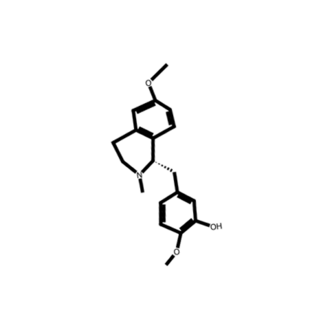 COc1ccc2c(c1)CCN(C)[C@H]2Cc1ccc(OC)c(O)c1